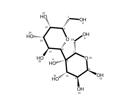 OC[C@@H]1O[C@H]([C@@]2(O)[C@H](CO)O[C@@H](O)[C@@H](O)[C@@H]2O)[C@@H](O)[C@H](O)[C@@H]1O